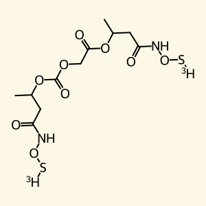 [3H]SONC(=O)CC(C)OC(=O)COC(=O)OC(C)CC(=O)NOS[3H]